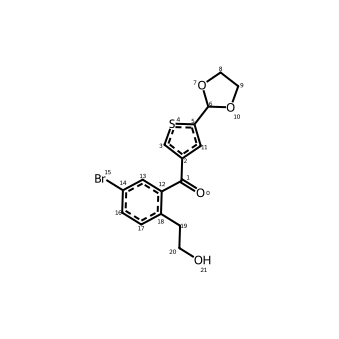 O=C(c1csc(C2OCCO2)c1)c1cc(Br)ccc1CCO